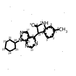 Cc1ccc2c(c1)NC(=O)C2c1ncnc2c1cnn2C1CCCCC1